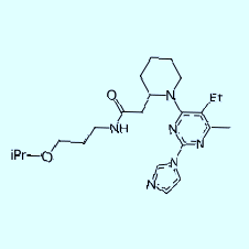 CCc1c(C)nc(-n2ccnc2)nc1N1CCCCC1CC(=O)NCCCOC(C)C